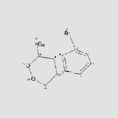 Brc1ccccc1.CCCCC1CCCOO1